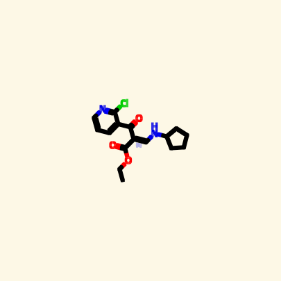 CCOC(=O)/C(=C/NC1CCCC1)C(=O)c1cccnc1Cl